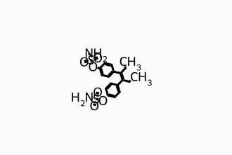 CCC(=C(CC)c1ccc(OS(N)(=O)=O)cc1)c1ccc(OS(N)(=O)=O)cc1